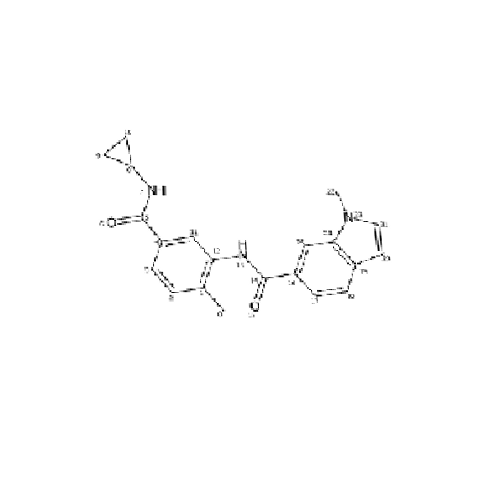 Cc1ccc(C(=O)NC2CC2)cc1NC(=O)c1ccc2ccn(C)c2c1